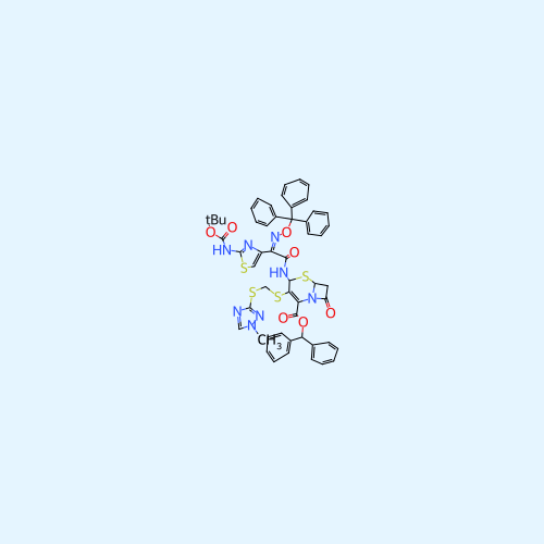 Cn1cnc(SCSC2=C(C(=O)OC(c3ccccc3)c3ccccc3)N3C(=O)CC3SC2NC(=O)/C(=N\OC(c2ccccc2)(c2ccccc2)c2ccccc2)c2csc(NC(=O)OC(C)(C)C)n2)n1